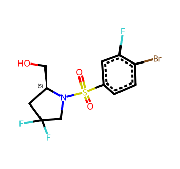 O=S(=O)(c1ccc(Br)c(F)c1)N1CC(F)(F)C[C@H]1CO